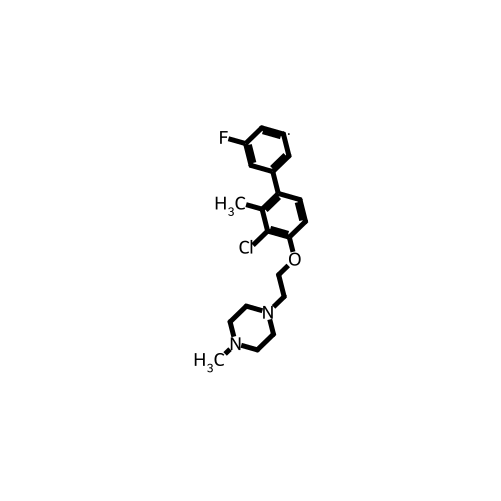 Cc1c(-c2c[c]cc(F)c2)ccc(OCCN2CCN(C)CC2)c1Cl